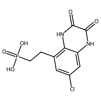 O=c1[nH]c2cc(Cl)cc(CCP(=O)(O)O)c2[nH]c1=O